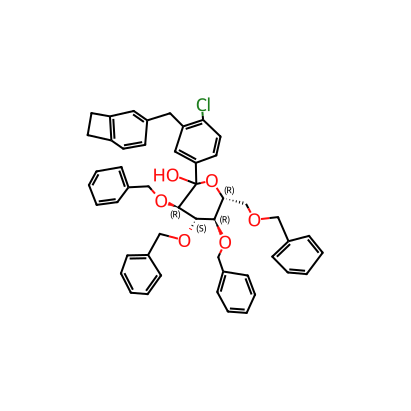 OC1(c2ccc(Cl)c(Cc3ccc4c(c3)CC4)c2)O[C@H](COCc2ccccc2)[C@@H](OCc2ccccc2)[C@H](OCc2ccccc2)[C@H]1OCc1ccccc1